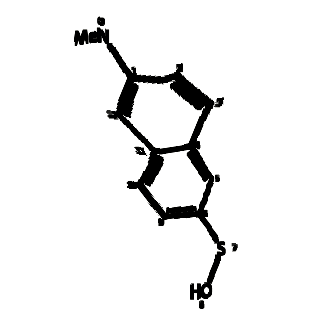 CNc1ccc2cc(SO)ccc2c1